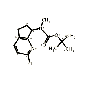 CN(C(=O)OC(C)(C)C)C1CCc2ccc(Cl)nc21